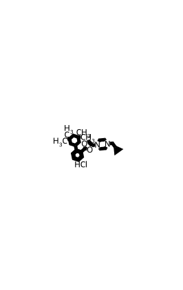 CC1(C)CC(c2ccccc2C2OC=C(N3CCN(CC4CC4)CC3)O2)CC(C)(C)C1.Cl